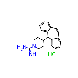 Cl.N=C(N)N1CCC(C2c3ccccc3C=Cc3ccccc32)CC1